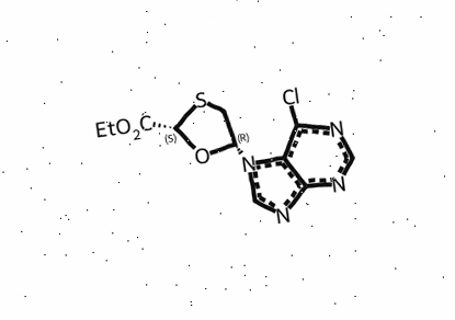 CCOC(=O)[C@H]1O[C@@H](n2cnc3ncnc(Cl)c32)CS1